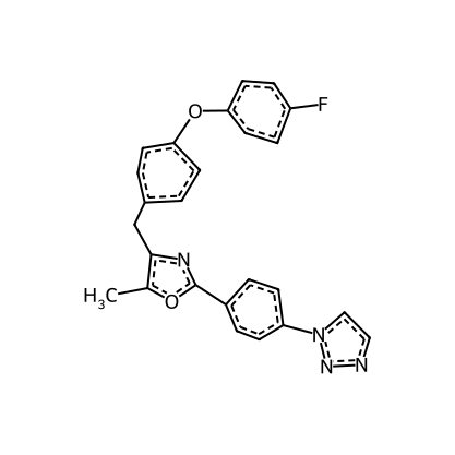 Cc1oc(-c2ccc(-n3ccnn3)cc2)nc1Cc1ccc(Oc2ccc(F)cc2)cc1